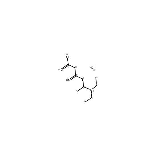 CCN(CC)C(C)CC(=N)CC(=O)O.Cl